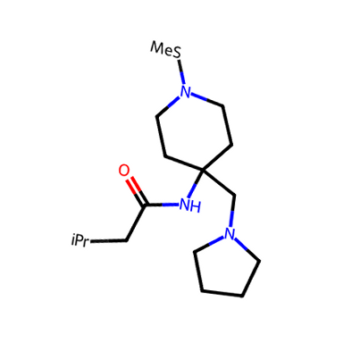 CSN1CCC(CN2CCCC2)(NC(=O)CC(C)C)CC1